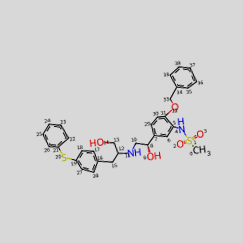 CS(=O)(=O)Nc1cc([C@@H](O)CNC(CO)Cc2ccc(Sc3ccccc3)cc2)ccc1OCc1ccccc1